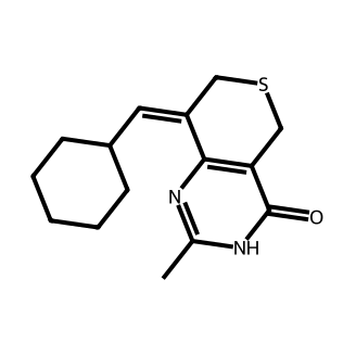 Cc1nc2c(c(=O)[nH]1)CSC/C2=C/C1CCCCC1